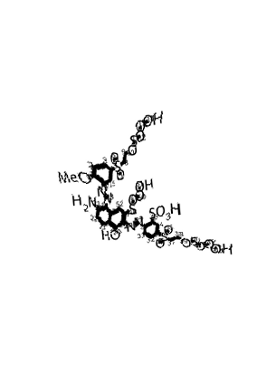 COc1ccc(S(=O)(=O)CCOSOOO)cc1/N=N/c1c(N)ccc2c(O)c(/N=N/c3ccc(S(=O)(=O)CCOSOOO)cc3S(=O)(=O)O)c(SOOO)cc12